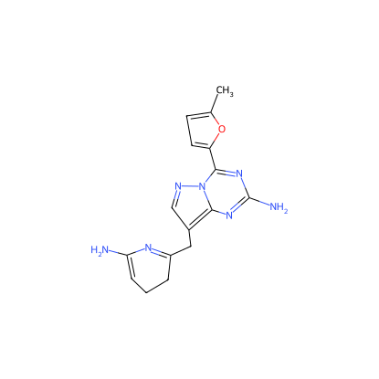 Cc1ccc(-c2nc(N)nc3c(CC4=NC(N)=CCC4)cnn23)o1